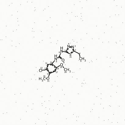 CCc1nnc(NC(=O)Nc2cc(Cl)c(OC)cc2OC)s1